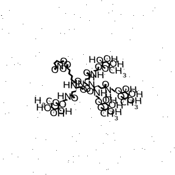 C[C@@H]1O[C@@H](OCCNC(=O)CC[C@H](NC(=O)CCCCC(=O)ON2C(=O)CCC2=O)C(=O)N[C@@H](CCC(=O)NCCO[C@@H]2O[C@@H](C)[C@@H](O)[C@@H](O)[C@@H]2O)C(=O)N[C@@H](CCC(=O)NCCO[C@@H]2O[C@@H](C)[C@@H](O)[C@@H](O)[C@@H]2O)C(=O)NCCO[C@@H]2O[C@@H](C)[C@@H](O)[C@@H](O)[C@@H]2O)[C@@H](O)[C@H](O)[C@@H]1O